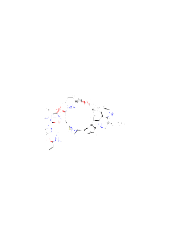 C=CC(=O)N(C)C[C@@H]1CCN1C(=O)N(C)[C@H](C(=O)N[C@H]1Cc2nc(cs2)-c2ccc3c(c2)c(c(-c2cccnc2[C@H](C)OC)n3C)CC(C)(C)COCC2(C=O)CCCN(N2)C1=O)C(C)C